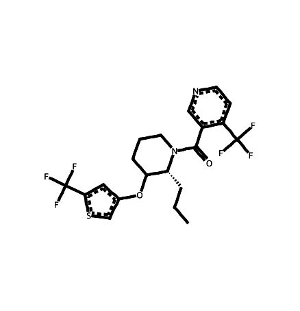 CCC[C@@H]1C(Oc2csc(C(F)(F)F)c2)CCCN1C(=O)c1cnccc1C(F)(F)F